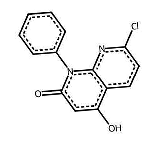 O=c1cc(O)c2ccc(Cl)nc2n1-c1ccccc1